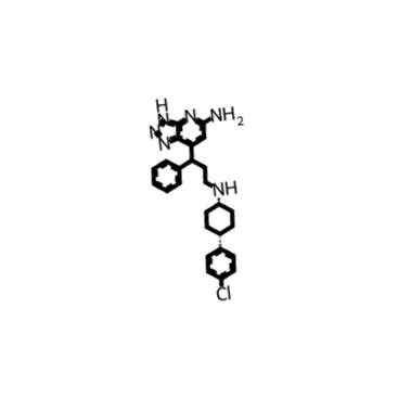 Nc1cc(C(CCN[C@H]2CC[C@@H](c3ccc(Cl)cc3)CC2)c2ccccc2)c2nn[nH]c2n1